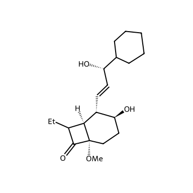 CCC1C(=O)[C@]2(OC)CC[C@H](O)[C@@H](/C=C/[C@H](O)C3CCCCC3)[C@H]12